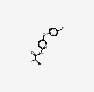 CC(Br)C(=O)Nc1ccc(Oc2ccc(F)cc2)cn1